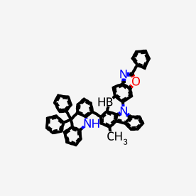 Cc1cc(-c2cccc3c2Nc2ccccc2C3(c2ccccc2)c2ccccc2)c2c3c1c1ccccc1n3-c1cc3oc(-c4ccccc4)nc3cc1B2